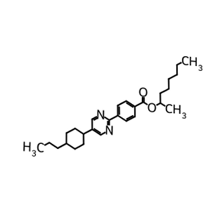 CCCCCCC(C)OC(=O)c1ccc(-c2ncc(C3CCC(CCC)CC3)cn2)cc1